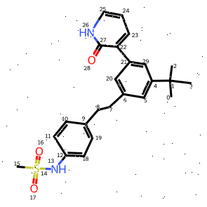 CC(C)(C)c1cc(CCc2ccc(NS(C)(=O)=O)cc2)cc(-c2ccc[nH]c2=O)c1